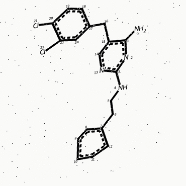 Nc1nc(NCCc2ccccc2)ncc1Cc1ccc(Cl)c(Cl)c1